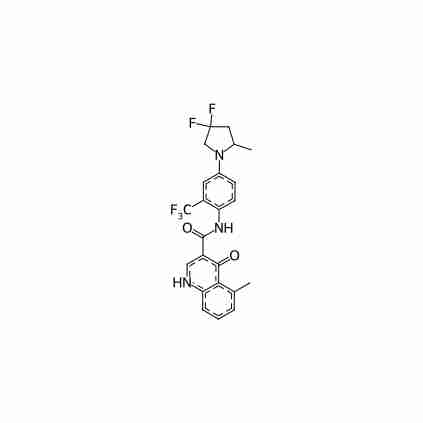 Cc1cccc2[nH]cc(C(=O)Nc3ccc(N4CC(F)(F)CC4C)cc3C(F)(F)F)c(=O)c12